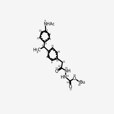 CC(=O)Nc1ccc(C(C)c2ccc(CC(=O)NNC(=O)OC(C)(C)C)cc2)cc1